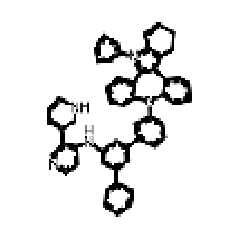 C1=CNCC(c2cnccc2Nc2cc(-c3ccccc3)cc(-c3cccc(N4c5ccccc5-c5c6c(n(-c7ccccc7)c5-c5ccccc54)C=CCC6)c3)c2)=C1